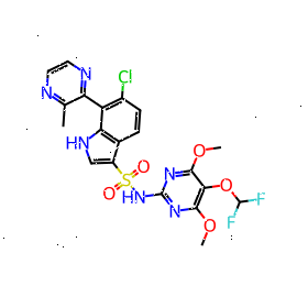 COc1nc(NS(=O)(=O)c2c[nH]c3c(-c4nccnc4C)c(Cl)ccc23)nc(OC)c1OC(F)F